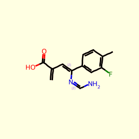 C=C(/C=C(\N=C/N)c1ccc(C)c(F)c1)C(=O)O